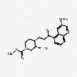 COc1cnc2cccc(C(O)CC[C@@H]3CCN(C(=O)OC(C)(C)C)C[C@@H]3C=O)c2c1